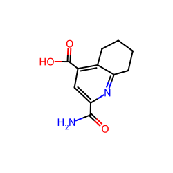 NC(=O)c1cc(C(=O)O)c2c(n1)CCCC2